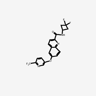 O=C(NC1CC(F)(F)C1)c1ccc2cc(Oc3ccc(C(F)(F)F)nc3)ccc2n1